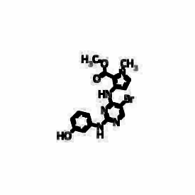 COC(=O)c1c(Nc2nc(Nc3cccc(O)c3)ncc2Br)ccn1C